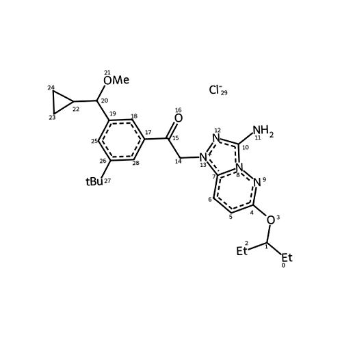 CCC(CC)Oc1ccc2n(n1)c(N)n[n+]2CC(=O)c1cc(C(OC)C2CC2)cc(C(C)(C)C)c1.[Cl-]